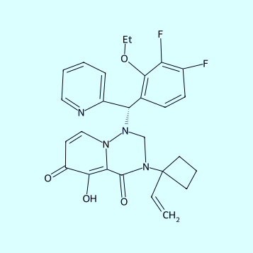 C=CC1(N2CN([C@H](c3ccccn3)c3ccc(F)c(F)c3OCC)n3ccc(=O)c(O)c3C2=O)CCC1